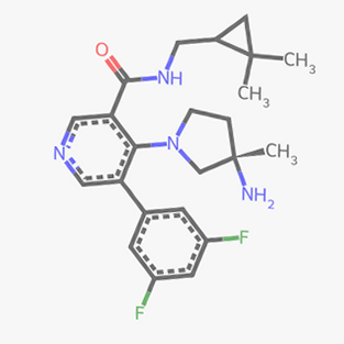 CC1(C)CC1CNC(=O)c1cncc(-c2cc(F)cc(F)c2)c1N1CC[C@](C)(N)C1